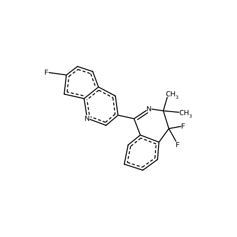 CC1(C)N=C(c2cnc3cc(F)ccc3c2)c2ccccc2C1(F)F